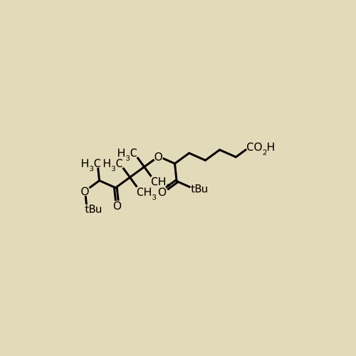 CC(OC(C)(C)C)C(=O)C(C)(C)C(C)(C)OC(CCCCC(=O)O)C(=O)C(C)(C)C